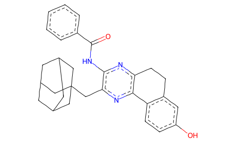 O=C(Nc1nc2c(nc1CC13CC4CC(CC(C4)C1)C3)-c1ccc(O)cc1CC2)c1ccccc1